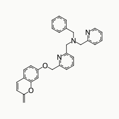 C=C1C=Cc2ccc(OCc3cccc(CN(Cc4ccccc4)Cc4ccccn4)n3)cc2O1